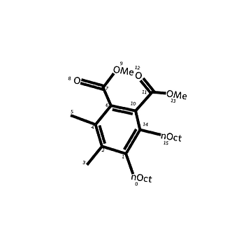 CCCCCCCCc1c(C)c(C)c(C(=O)OC)c(C(=O)OC)c1CCCCCCCC